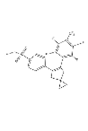 O=S(=O)(CF)c1ccc(C2=C(c3c(F)c(F)c(C(F)(F)F)c(F)c3F)CC3(CC3)C2)cc1